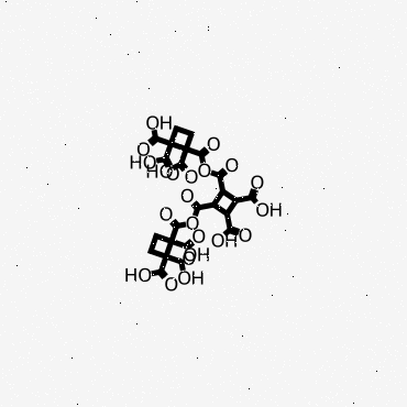 O=C(O)C1C(C(=O)O)C(C(=O)OC(=O)C2(C(=O)O)CCC2(C(=O)O)C(=O)O)C1C(=O)OC(=O)C1(C(=O)O)CCC1(C(=O)O)C(=O)O